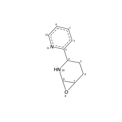 c1ccc(C2CCC3OC3N2)nc1